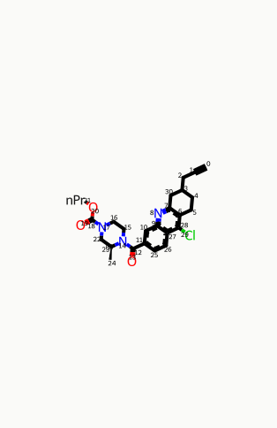 C#CCC1CCc2c(nc3cc(C(=O)N4CCN(C(=O)OCCC)C[C@@H]4C)ccc3c2Cl)C1